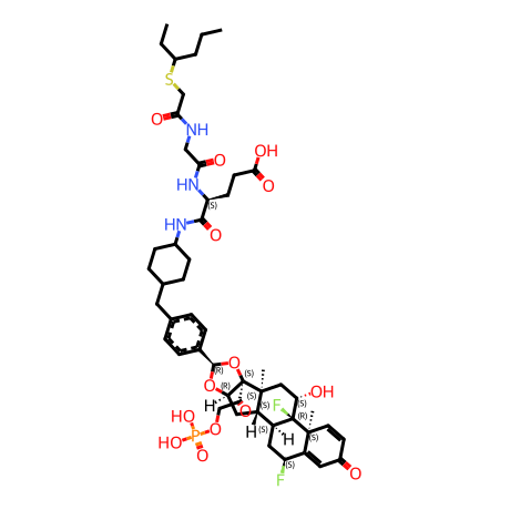 CCCC(CC)SCC(=O)NCC(=O)N[C@@H](CCC(=O)O)C(=O)NC1CCC(Cc2ccc([C@@H]3O[C@@H]4C[C@H]5[C@@H]6C[C@H](F)C7=CC(=O)C=C[C@]7(C)[C@@]6(F)[C@@H](O)C[C@]5(C)[C@]4(C(=O)COP(=O)(O)O)O3)cc2)CC1